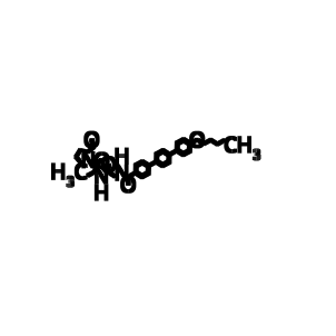 CCCCCOc1ccc(-c2ccc(-c3ccc(C(=O)NCC(=O)NC(CC)C(=O)N4CCCC4C=O)cc3)cc2)cc1